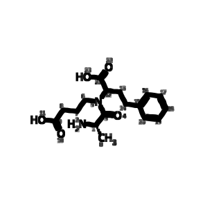 C[C@H](N)C(=O)N(CCCC(=O)O)C(CCc1ccccc1)C(=O)O